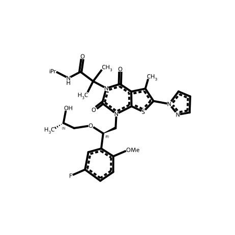 COc1ccc(F)cc1[C@H](Cn1c(=O)n(C(C)(C)C(=O)NC(C)C)c(=O)c2c(C)c(-n3cccn3)sc21)OC[C@H](C)O